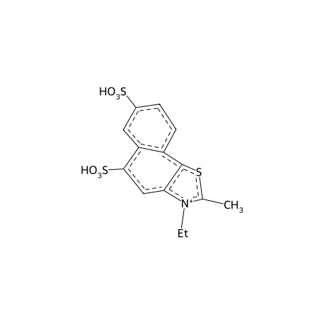 CC[n+]1c(C)sc2c3ccc(S(=O)(=O)O)cc3c(S(=O)(=O)O)cc21